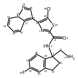 NCC1(NC(=O)c2nc(-c3cnn4ccccc34)c(Cl)s2)CCc2cc(F)ccc21